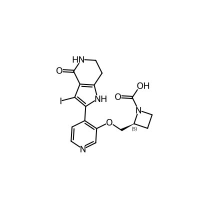 O=C1NCCc2[nH]c(-c3ccncc3OC[C@@H]3CCN3C(=O)O)c(I)c21